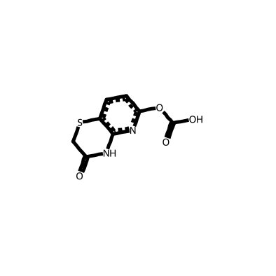 O=C1CSc2ccc(OC(=O)O)nc2N1